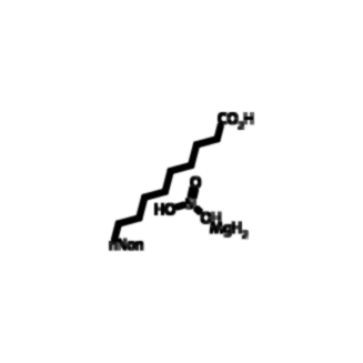 CCCCCCCCCCCCCCCCCC(=O)O.O=[Si](O)O.[MgH2]